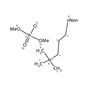 CCCCCCCCCCCC[N+](C)(C)C.COP(=O)([O-])OC